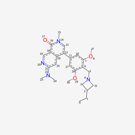 CCC1CN(Cc2c(OC)cc(-c3cn(C)c(=O)c4cnc(N(C)C)cc34)cc2OC)C1